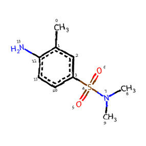 Cc1cc(S(=O)(=O)N(C)C)ccc1N